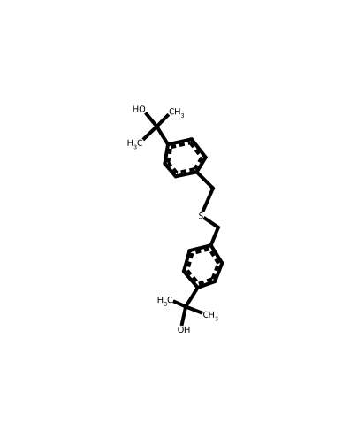 CC(C)(O)c1ccc(CSCc2ccc(C(C)(C)O)cc2)cc1